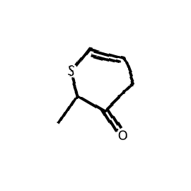 CC1SC=CCC1=O